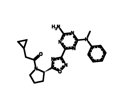 CN(c1ccccc1)c1nc(N)nc(-c2noc([C@@H]3CCCN3C(=O)CC3CC3)n2)n1